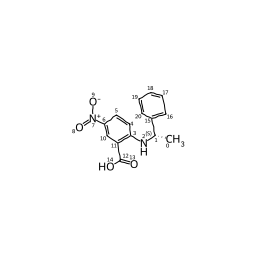 C[C@H](Nc1ccc([N+](=O)[O-])cc1C(=O)O)c1ccccc1